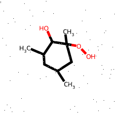 CC1CC(C)C(O)C(C)(OO)C1